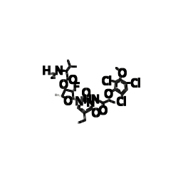 CCc1cn([C@@H]2O[C@H](C)[C@@H](OC(=O)[C@@H](N)C(C)C)[C@@H]2F)c(=O)n(NC(=O)C(C)Oc2c(Cl)cc(Cl)c(OC)c2Cl)c1=O